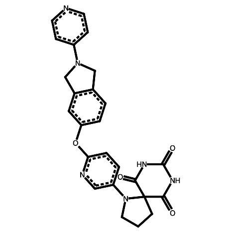 O=C1NC(=O)C2(CCCN2c2ccc(Oc3ccc4c(c3)CN(c3ccncc3)C4)nc2)C(=O)N1